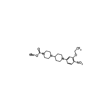 CC(C)(C)OC(=O)N1CCN(C2CCN(c3ccc([N+](=O)[O-])c(OCC(F)(F)F)c3)CC2)CC1